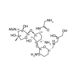 CN[C@@H]1[C@@H](O)[C@@H](O[C@@H]2[C@@H](O)[C@H](O[C@H]3O[C@H](CNC[C@@H](O)CO)CC[C@H]3N)[C@@H](N)C[C@H]2NC(=O)CN)OC[C@]1(C)O